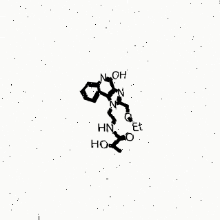 CCOCc1nc2c(O)nc3ccccc3c2n1CCNC(=O)C(C)O